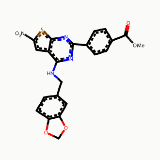 COC(=O)c1ccc(-c2nc(NCc3ccc4c(c3)OCO4)c3cc([N+](=O)[O-])sc3n2)cc1